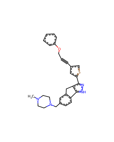 CN1CCN(Cc2ccc3c(c2)Cc2c(-c4cc(C#CCOc5ccccc5)cs4)n[nH]c2-3)CC1